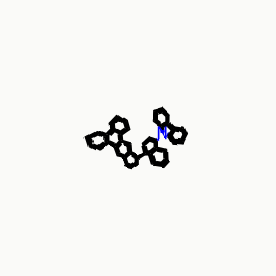 c1cc(-c2ccc(-n3c4ccccc4c4ccccc43)c3ccccc23)c2cc3c4ccccc4c4ccccc4c3cc2c1